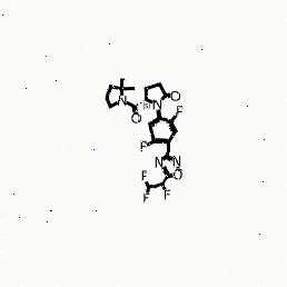 CC1(C)CCCN1C(=O)[C@@H]1CCC(=O)N1c1cc(F)c(-c2noc(C(F)C(F)F)n2)cc1F